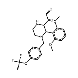 COc1cccc(OC)c1C1C(C(=O)C=O)NCCN1Cc1ccc(OC(F)(F)F)cc1